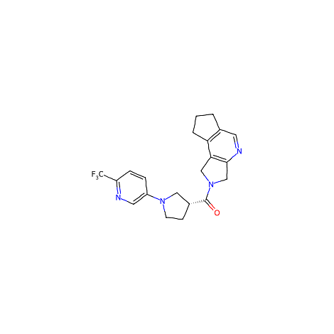 O=C([C@@H]1CCN(c2ccc(C(F)(F)F)nc2)C1)N1Cc2ncc3c(c2C1)CCC3